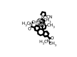 C[C@H](CC1(c2nn(C)c(=O)[nH]2)c2ccc(C(=O)N(C)C)cc2CCc2cc(C(=O)N(C)C)ccc21)NCC(=O)N1CCC[C@H]1C#N